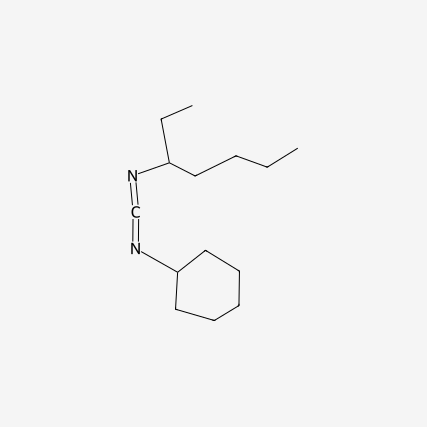 CCCCC(CC)N=C=NC1CCCCC1